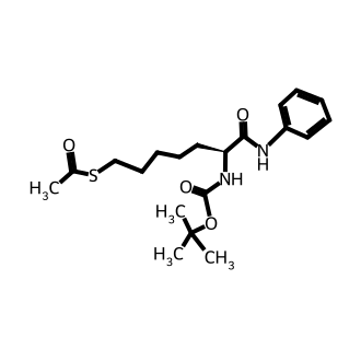 CC(=O)SCCCCC[C@H](NC(=O)OC(C)(C)C)C(=O)Nc1ccccc1